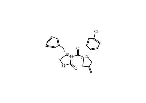 C=C1C[C@@H](C(=O)N2C(=O)OC[C@@H]2Cc2ccccc2)[C@H](c2ccc(Cl)cc2)C1